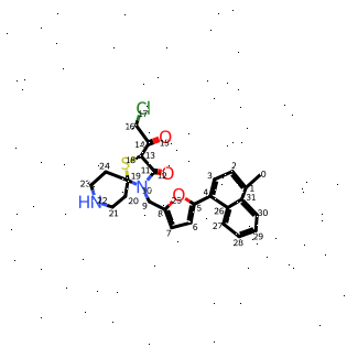 Cc1ccc(-c2ccc(CN3C(=O)C(C(=O)CCl)SC34CCNCC4)o2)c2ccccc12